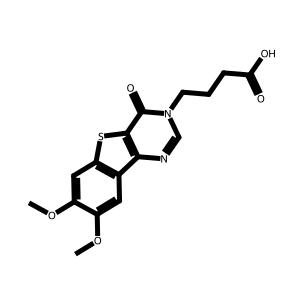 COc1cc2sc3c(=O)n(CCCC(=O)O)cnc3c2cc1OC